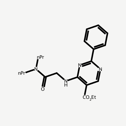 CCCN(CCC)C(=O)CNc1nc(-c2ccccc2)ncc1C(=O)OCC